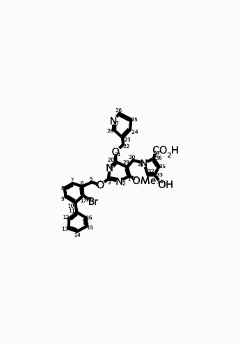 COc1nc(OCc2cccc(-c3ccccc3)c2Br)nc(OCc2cccnc2)c1Cn1cc(O)cc1C(=O)O